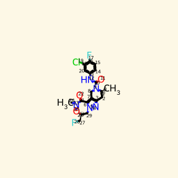 C[C@@H]1Cc2nn3c(c2CN1C(=O)Nc1ccc(F)c(Cl)c1)C(=O)N(C)O[C@H](CF)C3